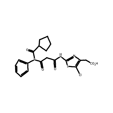 O=C(O)Cc1nc(NC(=O)CC(=O)N(C(=O)C2CCCC2)c2ccccc2)sc1Cl